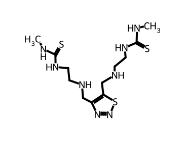 CNC(=S)NCCNCc1nnsc1CNCCNC(=S)NC